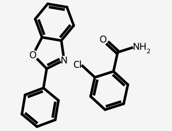 NC(=O)c1ccccc1Cl.c1ccc(-c2nc3ccccc3o2)cc1